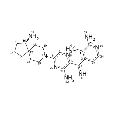 Cc1c(C(=N)c2ncc(N3CCC4(CCC[C@H]4N)CC3)nc2N)ccnc1N